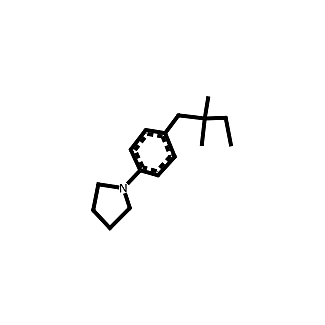 CCC(C)(C)Cc1ccc(N2CCCC2)cc1